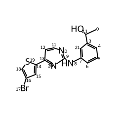 CC(O)c1cccc(Nc2nccc(-c3cc(Br)cs3)n2)c1